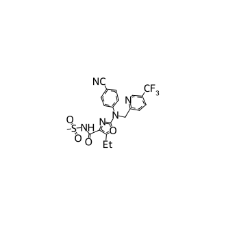 CCc1oc(N(Cc2ccc(C(F)(F)F)cn2)c2ccc(C#N)cc2)nc1C(=O)NS(C)(=O)=O